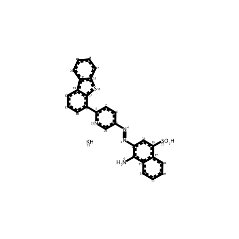 Nc1c(N=Nc2ccc(-c3cccc4c3sc3ccccc34)nc2)cc(S(=O)(=O)O)c2ccccc12.[KH]